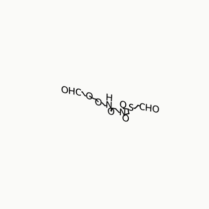 O=CCCOCCOCCNC(=O)CCN1C(=O)CC(SCCC=O)C1=O